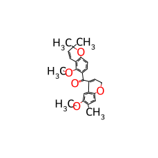 COc1cc2c(cc1C)OCC=C2C(=O)c1ccc2c(c1OC)C=CC(C)(C)O2